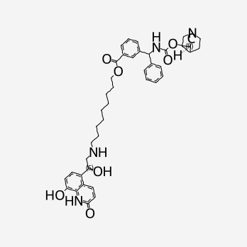 O=C(NC(c1ccccc1)c1cccc(C(=O)OCCCCCCCCCNC[C@@H](O)c2ccc(O)c3[nH]c(=O)ccc23)c1)O[C@H]1CN2CCC1CC2